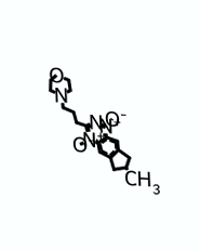 CC1Cc2cc3c(cc2C1)[n+]([O-])c(CCCN1CCOCC1)n[n+]3[O-]